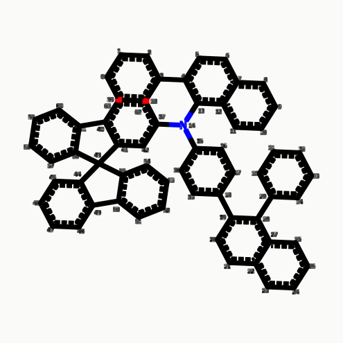 c1ccc(-c2ccc3ccccc3c2N(c2ccc(-c3ccc4ccccc4c3-c3ccccc3)cc2)c2ccc3c(c2)C2(c4ccccc4-c4ccccc42)c2ccccc2-3)cc1